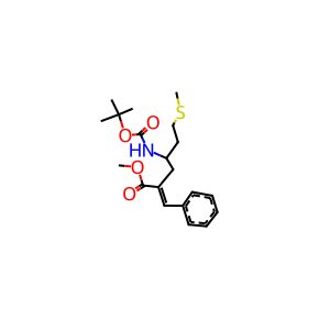 COC(=O)/C(=C/c1ccccc1)CC(CCSC)NC(=O)OC(C)(C)C